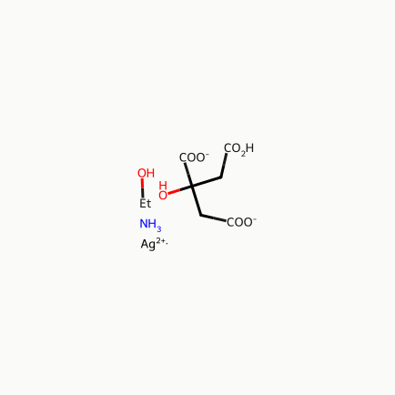 CCO.N.O=C([O-])CC(O)(CC(=O)O)C(=O)[O-].[Ag+2]